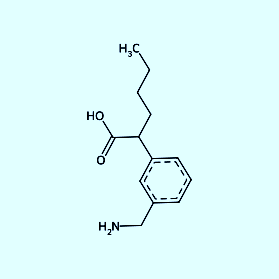 CCCCC(C(=O)O)c1cccc(CN)c1